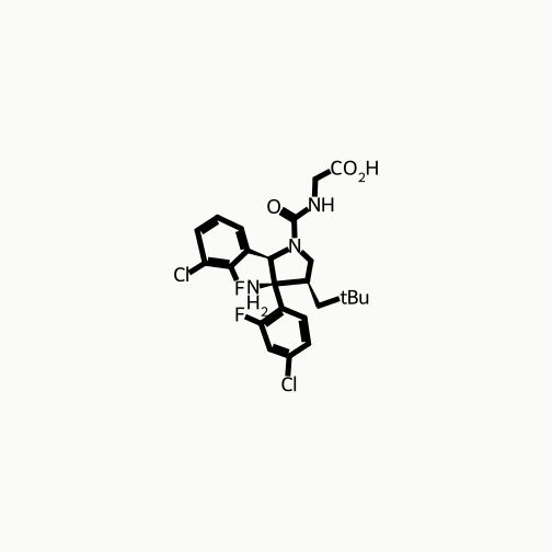 CC(C)(C)C[C@@H]1CN(C(=O)NCC(=O)O)[C@H](c2cccc(Cl)c2F)[C@@]1(N)c1ccc(Cl)cc1F